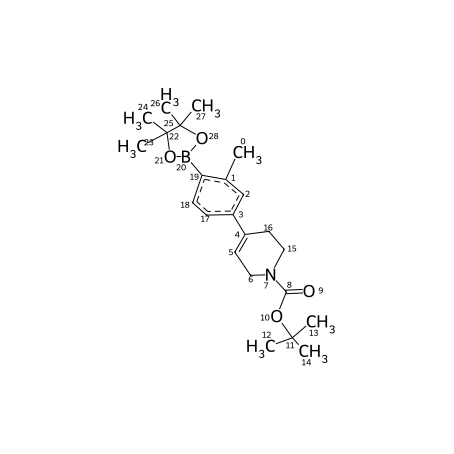 Cc1cc(C2=CCN(C(=O)OC(C)(C)C)CC2)ccc1B1OC(C)(C)C(C)(C)O1